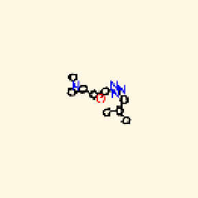 c1ccc(-c2cc(-c3ccccc3)cc(-c3cccc(-c4ncnc(-c5ccc6c(c5)oc5ccc(-c7ccc8c(c7)c7ccccc7n8-c7ccccc7)cc56)n4)c3)c2)cc1